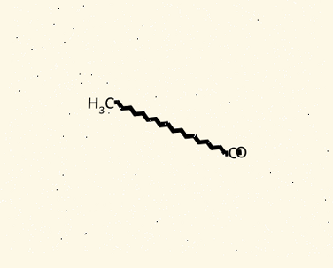 CCCCCCCCC=CCCCCCCCCC=C=O